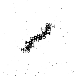 Cc1c(NC(=O)c2cc(C3CC3)c(CNC(CO)C(=O)O)cn2)cccc1-c1cccc(NC(=O)c2cc(C3CC3)c(CNC(CO)C(=O)O)cn2)c1C